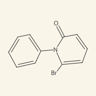 O=c1cccc(Br)n1-c1ccccc1